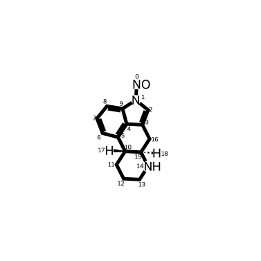 O=Nn1cc2c3c(cccc31)[C@H]1CCCN[C@@H]1C2